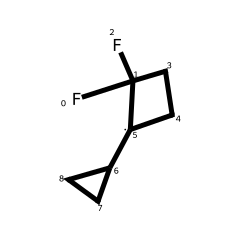 FC1(F)CC[C]1C1CC1